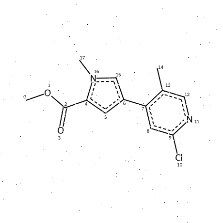 COC(=O)c1cc(-c2cc(Cl)ncc2C)cn1C